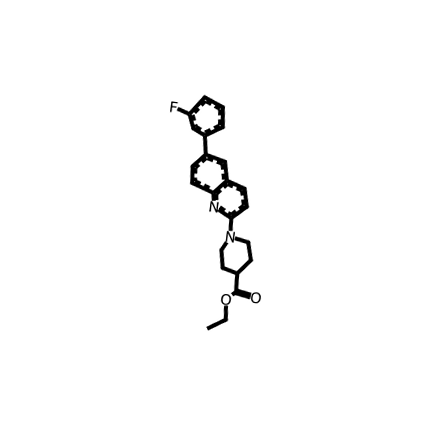 CCOC(=O)C1CCN(c2ccc3cc(-c4cccc(F)c4)ccc3n2)CC1